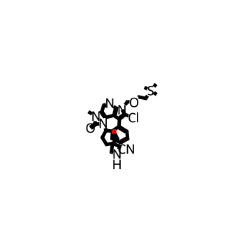 Cn1c(=O)n(C2CCC3(CC2)CNC3)c2c3c(-c4ccc(C#N)cc4)c(Cl)n(COCCS(C)(C)C)c3ncc21